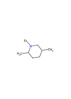 CCN1CC(C)CCC1C